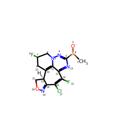 C[S+]([O-])C1=NN2C[C@H](F)CC3=C2C(=N1)C(F)=C(Cl)C1=NOC[C@H]13